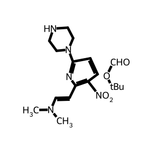 CC(C)(C)OC=O.CN(C)/C=C/c1nc(N2CCNCC2)ccc1[N+](=O)[O-]